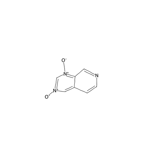 [O-][n+]1cc2ccncc2[n+]([O-])c1